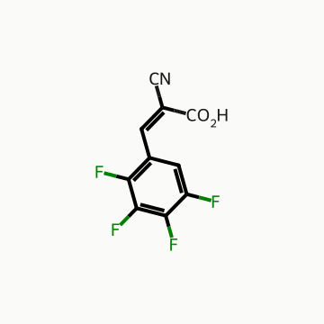 N#CC(=Cc1cc(F)c(F)c(F)c1F)C(=O)O